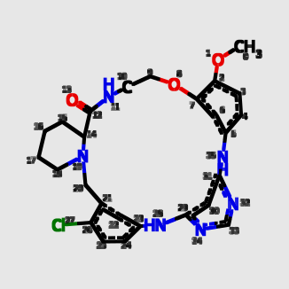 COc1ccc2cc1OCCNC(=O)C1CCCCN1Cc1cc(ccc1Cl)Nc1cc(ncn1)N2